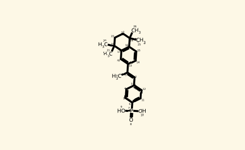 C/C(=C\c1ccc(P(=O)(O)O)cc1)c1ccc2c(c1)C(C)(C)CCC2(C)C